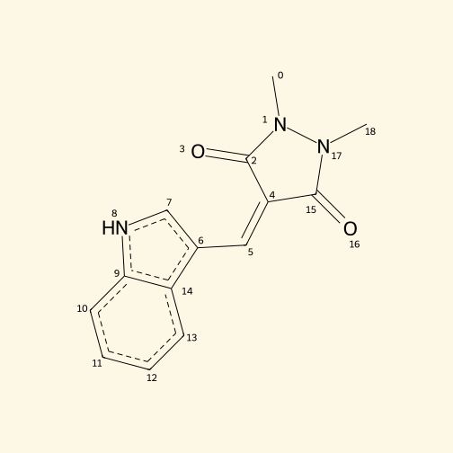 CN1C(=O)C(=Cc2c[nH]c3ccccc23)C(=O)N1C